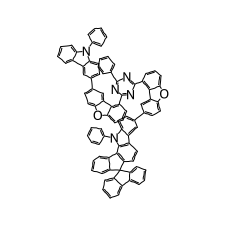 c1ccc(-c2nc(-c3cccc4oc5ccc(-c6ccc7c(c6)c6ccccc6n7-c6ccccc6)cc5c34)nc(-c3cccc4oc5ccc(-c6ccc7c(c6)c6ccc8c(c6n7-c6ccccc6)-c6ccccc6C86c7ccccc7-c7ccccc76)cc5c34)n2)cc1